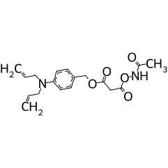 C=CCN(CC=C)c1ccc(COC(=O)CC(=O)ONC(C)=O)cc1